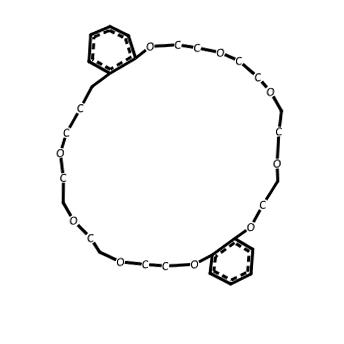 c1ccc2c(c1)CCCOCCOCCOCCOc1ccccc1OCCOCCOCCOCCO2